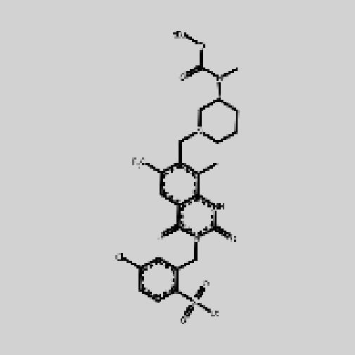 CCS(=O)(=O)c1ccc(Cl)cc1Cn1c(=O)[nH]c2c(C)c(CN3CCC[C@H](N(C)C(=O)OC(C)(C)C)C3)c(C(F)(F)F)cc2c1=O